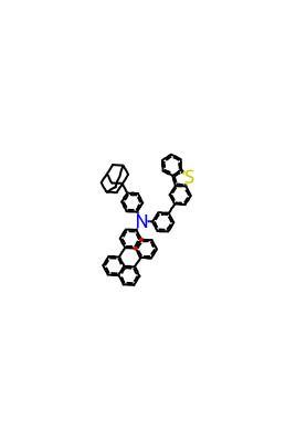 c1ccc(-c2cccc3cccc(-c4ccc(N(c5ccc(C67CC8CC(CC(C8)C6)C7)cc5)c5cccc(-c6ccc7sc8ccccc8c7c6)c5)cc4)c23)cc1